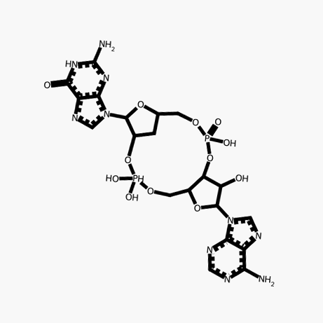 Nc1nc2c(ncn2C2OC3COP(=O)(O)OC4C(CO[PH](O)(O)OC2C3)OC(n2cnc3c(N)ncnc32)C4O)c(=O)[nH]1